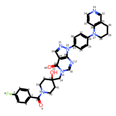 O=C(c1ccc(F)cc1)N1CCC(O)(Cn2cnc3c(cnn3-c3ccc(N4CCCc5cnccc54)cc3)c2=O)CC1